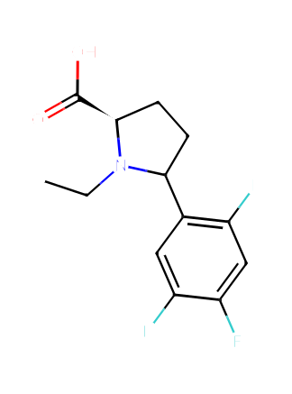 CCN1C(c2cc(F)c(F)cc2F)CC[C@@H]1C(=O)O